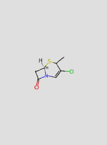 CC1S[C@@H]2CC(=O)N2C=C1Cl